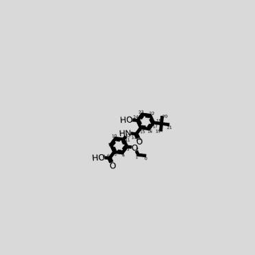 CCOc1cc(C(=O)O)ccc1NC(=O)c1cc(C(C)(C)C)ccc1O